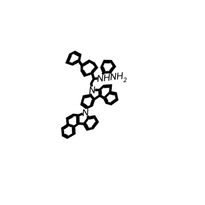 Nc1ccccc1NC(Cn1c2ccc(-n3c4ccccc4c4c5ccccc5ccc43)cc2c2c3ccccc3ccc21)C1=CCC=C(c2ccccc2)C=C1